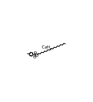 CCCCCCCCCCCCCCCCCCOS(=O)(=O)c1ccc(C)cc1.[CaH2]